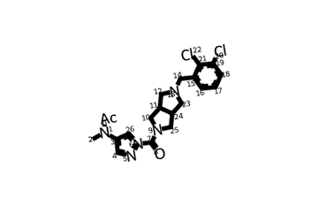 CC(=O)N(C)c1cnn(C(=O)N2CC3CN(Cc4cccc(Cl)c4Cl)CC3C2)c1